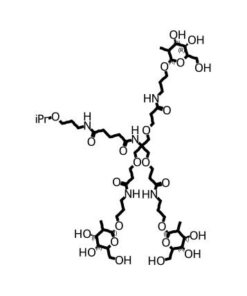 CC(C)OCCCNC(=O)CCCC(=O)NC(COCCC(=O)NCCCO[C@@H]1OC(CO)[C@H](O)[C@H](O)C1C)(COCCC(=O)NCCCO[C@@H]1OC(CO)[C@H](O)[C@H](O)C1C)COCCC(=O)NCCCO[C@@H]1OC(CO)[C@H](O)[C@H](O)C1C